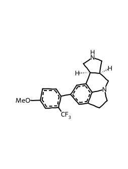 COc1ccc(-c2cc3c4c(c2)[C@H]2CNC[C@H]2CN4CC3)c(C(F)(F)F)c1